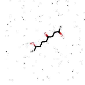 CCCC(O)CCCC(=O)CCC(=O)CC